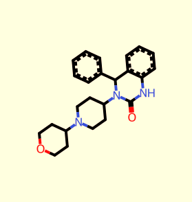 O=C1Nc2ccccc2C(c2ccccc2)N1C1CCN(C2CCOCC2)CC1